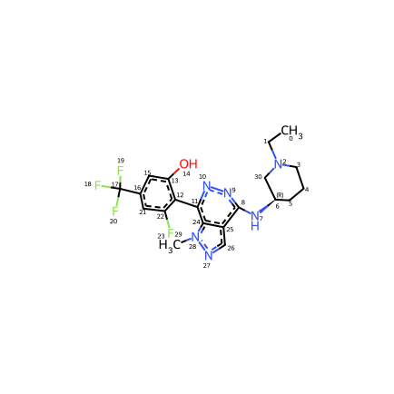 CCN1CCC[C@@H](Nc2nnc(-c3c(O)cc(C(F)(F)F)cc3F)c3c2cnn3C)C1